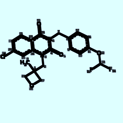 CC1(Cn2c(=O)n(Cc3ccc(OC(F)F)cc3)c(=O)c3ccc(Cl)cc32)COC1